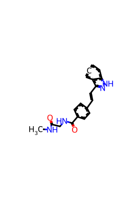 CNC(=O)CNC(=O)c1ccc(/C=C/c2n[nH]c3ccccc23)cc1